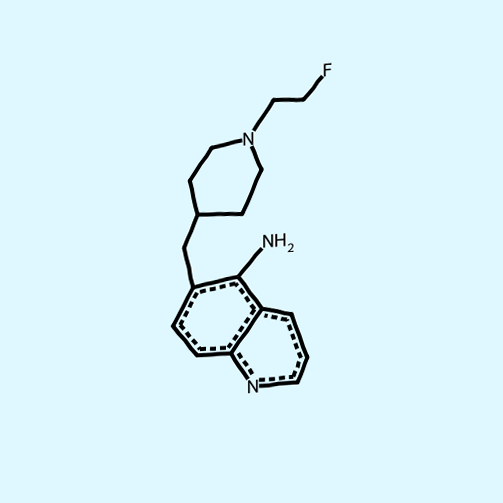 Nc1c(CC2CCN(CCF)CC2)ccc2ncccc12